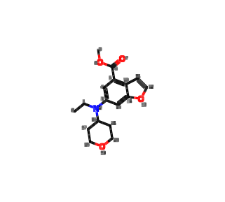 CCN(c1cc(C(=O)OC)c2ccoc2c1)C1CCOCC1